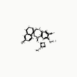 O=C[C@@H]1CC[C@H]1CN1CC2(CCCc3cc(Cl)ccc32)COc2cc(F)c(C(=O)O)cc21